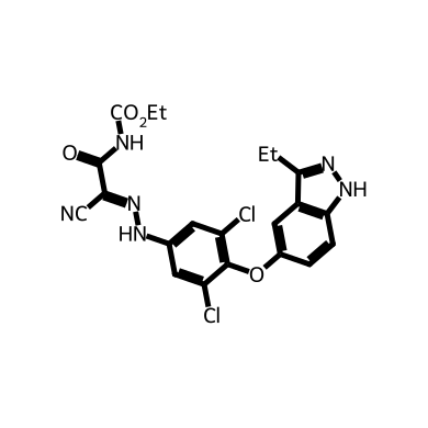 CCOC(=O)NC(=O)/C(C#N)=N/Nc1cc(Cl)c(Oc2ccc3[nH]nc(CC)c3c2)c(Cl)c1